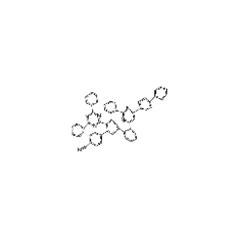 N#Cc1ccc(-c2cc(-c3ccccc3-c3cc(-c4ccc(-c5ccccc5)cc4)nc(-c4ccccc4)n3)ccc2-c2nc(-c3ccccc3)nc(-c3ccccc3)n2)cc1